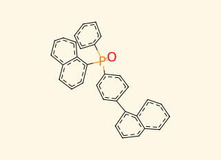 O=P(c1ccccc1)(c1ccc(-c2cccc3ccccc23)cc1)c1cccc2ccccc12